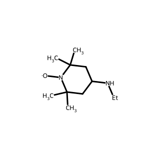 CCNC1CC(C)(C)N([O])C(C)(C)C1